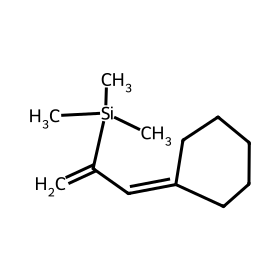 C=C(C=C1CCCCC1)[Si](C)(C)C